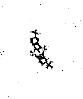 CC1=C2c3cc(C(C)(C)C)ccc3[CH]1[Zr]([CH3])([CH3])[CH]1C(C)=C(c3cc(C(C)(C)C)ccc31)[Si]2(C)C